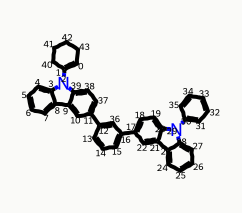 C1=C(n2c3ccccc3c3cc(-c4cccc(-c5ccc6c(c5)c5ccccc5n6-c5ccccc5)c4)ccc32)CCCC1